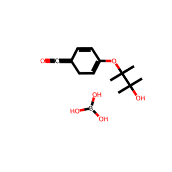 CC(C)(O)C(C)(C)OC1=CCC(=C=O)C=C1.OB(O)O